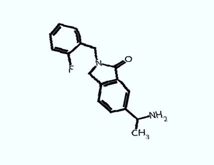 CC(N)c1ccc2c(c1)C(=O)N(Cc1ccccc1F)C2